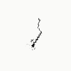 CCCCCCCC/C=C\CCCCCCCCC(C(=O)O)N(C)C